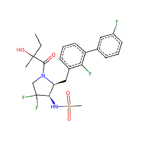 CCC(C)(O)C(=O)N1CC(F)(F)[C@H](NS(C)(=O)=O)[C@@H]1Cc1cccc(-c2cccc(F)c2)c1F